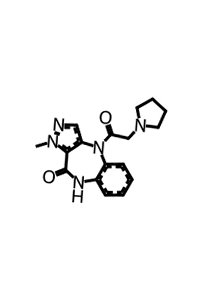 Cn1ncc2c1C(=O)Nc1ccccc1N2C(=O)CN1CCCC1